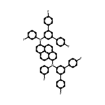 Fc1ccc(-c2cc(-c3ccc(F)cc3)cc(N(c3cccc(F)c3)c3ccc4ccc5c(N(c6cccc(F)c6)c6cc(-c7ccc(F)cc7)cc(-c7ccc(F)cc7)c6)ccc6ccc3c4c65)c2)cc1